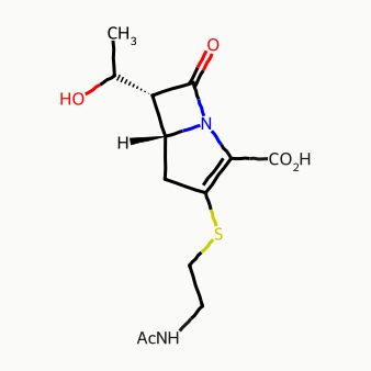 CC(=O)NCCSC1=C(C(=O)O)N2C(=O)[C@@H](C(C)O)[C@H]2C1